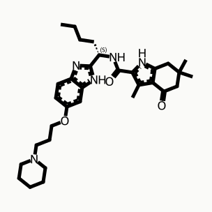 CCCC[C@H](NC(=O)c1[nH]c2c(c1C)C(=O)CC(C)(C)C2)c1nc2ccc(OCCCN3CCCCC3)cc2[nH]1